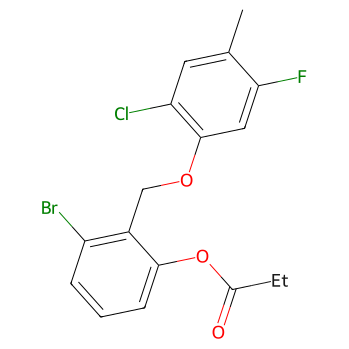 CCC(=O)Oc1cccc(Br)c1COc1cc(F)c(C)cc1Cl